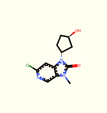 Cn1c(=O)n([C@@H]2CC[C@@H](O)C2)c2cc(Cl)ncc21